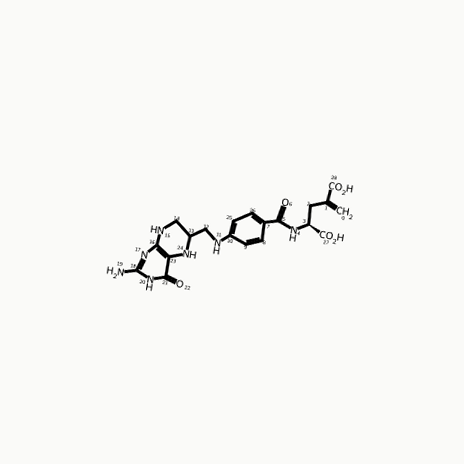 C=C(C[C@H](NC(=O)c1ccc(NCC2CNc3nc(N)[nH]c(=O)c3N2)cc1)C(=O)O)C(=O)O